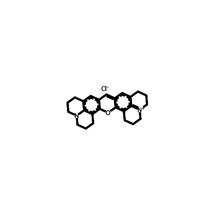 C1=c2cc3c4c(c2Oc2c1cc1c5c2CCCN5CCC1)CCC[N+]=4CCC3.[Cl-]